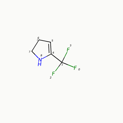 FC(F)(F)C1=C[C]CN1